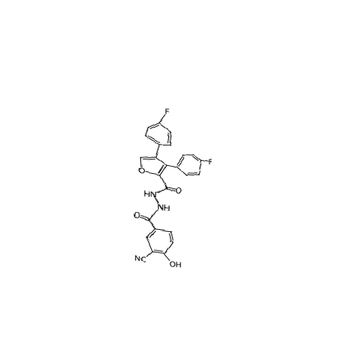 N#Cc1cc(C(=O)NNC(=O)c2occ(-c3ccc(F)cc3)c2-c2ccc(F)cc2)ccc1O